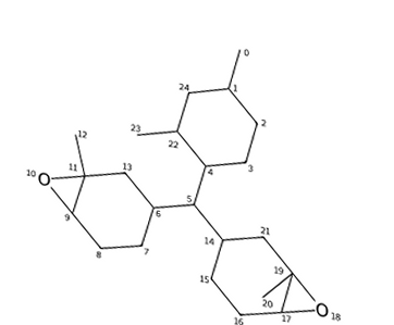 CC1CCC(C(C2CCC3OC3(C)C2)C2CCC3OC3(C)C2)C(C)C1